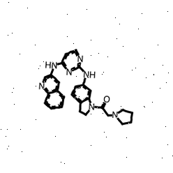 O=C(CN1CCCC1)N1CCc2ccc(Nc3nccc(Nc4cnc5ccccc5c4)n3)cc21